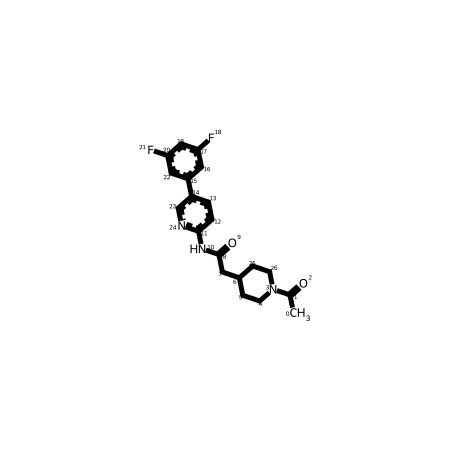 CC(=O)N1CCC(CC(=O)Nc2ccc(-c3cc(F)cc(F)c3)cn2)CC1